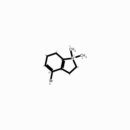 C[N+]1(C)CCC2=C1CCC=C2Br